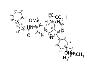 CC(=O)O.COc1cc(-c2nn(C3CCC(O)(CN(C)C)CC3)c3ncnc(N)c23)ccc1NC(=O)[C@@H]1C[C@H]1c1ccccc1